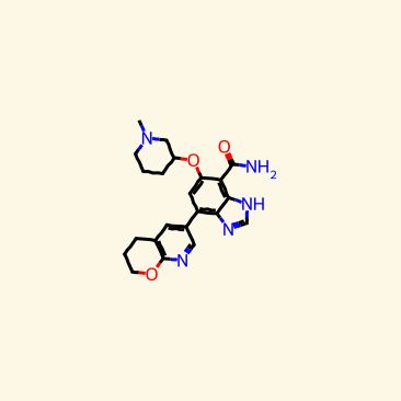 CN1CCCC(Oc2cc(-c3cnc4c(c3)CCCO4)c3nc[nH]c3c2C(N)=O)C1